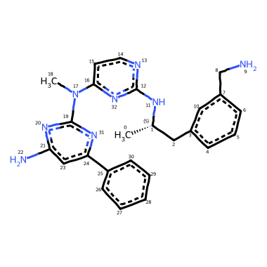 C[C@@H](Cc1cccc(CN)c1)Nc1nccc(N(C)c2nc(N)cc(-c3ccccc3)n2)n1